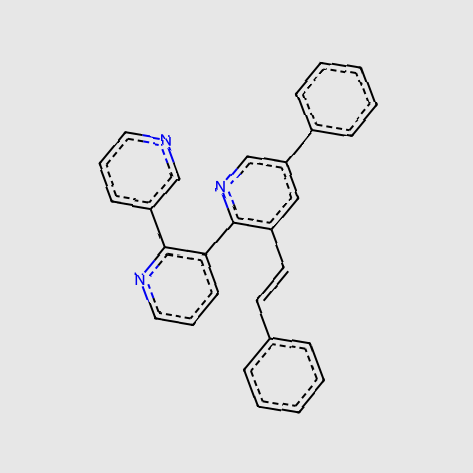 C(=Cc1cc(-c2ccccc2)cnc1-c1cccnc1-c1cccnc1)c1ccccc1